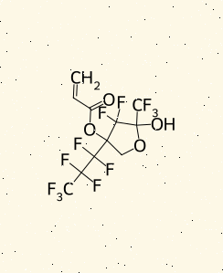 C=CC(=O)OC1(C(F)(F)C(F)(F)C(F)(F)F)COC(O)(C(F)(F)F)C1(F)F